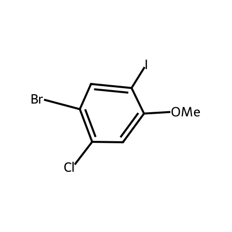 COc1cc(Cl)c(Br)cc1I